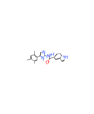 Cc1cc(C)c(-c2cnc(NC(=O)c3ccc4[nH]ccc4c3)n2C)cc1C